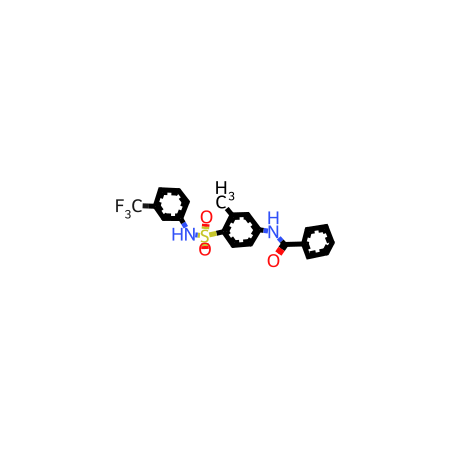 Cc1cc(NC(=O)c2ccccc2)ccc1S(=O)(=O)Nc1cccc(C(F)(F)F)c1